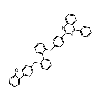 c1ccc(-c2nc(-c3ccc(Cc4ccccc4-c4ccccc4Cc4ccc5c(c4)oc4ccccc45)cc3)nc3ccccc23)cc1